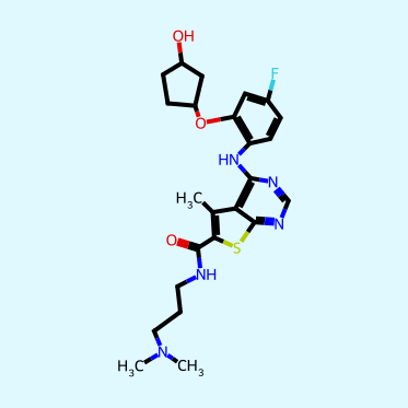 Cc1c(C(=O)NCCCN(C)C)sc2ncnc(Nc3ccc(F)cc3OC3CCC(O)C3)c12